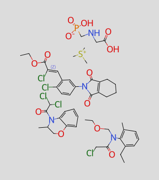 CC1COc2ccccc2N1C(=O)C(Cl)Cl.CCOC(=O)/C(Cl)=C/c1cc(N2C(=O)C3=C(CCCC3)C2=O)ccc1Cl.CCOCN(C(=O)CCl)c1c(C)cccc1CC.C[S+](C)C.O=C(O)CNCP(=O)([O-])O